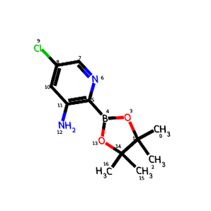 CC1(C)OB(c2ncc(Cl)cc2N)OC1(C)C